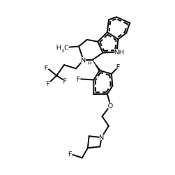 CC1Cc2c([nH]c3ccccc23)[C@@H](c2c(F)cc(OCCN3CC(CF)C3)cc2F)N1CCC(F)(F)F